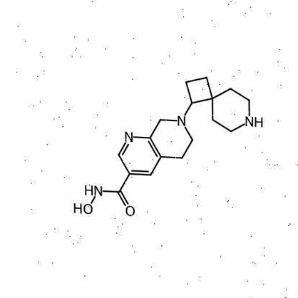 O=C(NO)c1cnc2c(c1)CCN(C1CCC13CCNCC3)C2